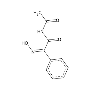 CC(=O)NC(=O)C(=NO)c1ccccc1